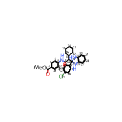 COC(=O)c1ccc(NC(=O)C(C2CCCCC2)C2(c3ccc(Cl)cc3)Nc3ccccc3N2)c(C(F)(F)F)c1